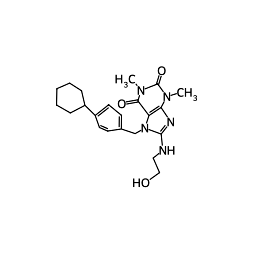 Cn1c(=O)c2c(nc(NCCO)n2Cc2ccc(C3CCCCC3)cc2)n(C)c1=O